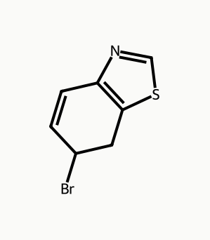 BrC1C=Cc2ncsc2C1